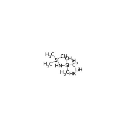 C[Si](C)(C)N[Si](C)(C)C.[KH].[LiH]